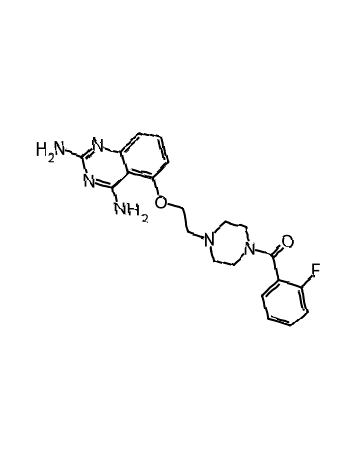 Nc1nc(N)c2c(OCCN3CCN(C(=O)c4ccccc4F)CC3)cccc2n1